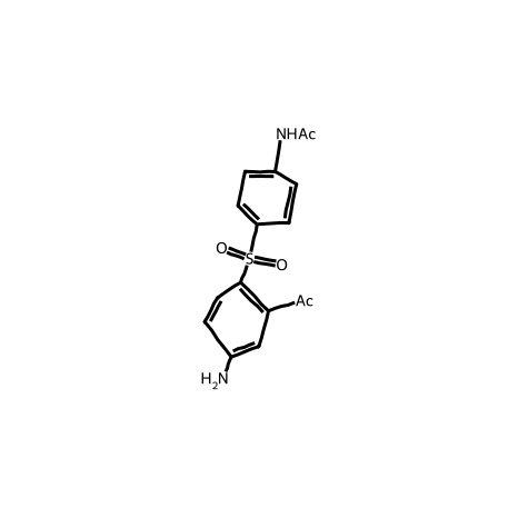 CC(=O)Nc1ccc(S(=O)(=O)c2ccc(N)cc2C(C)=O)cc1